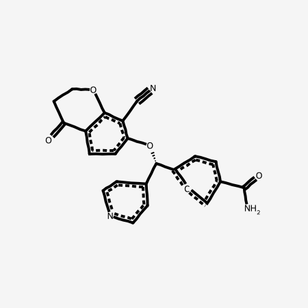 N#Cc1c(O[C@@H](c2ccncc2)c2ccc(C(N)=O)cc2)ccc2c1OCCC2=O